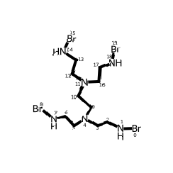 BrNCCN(CCNBr)CCN(CCNBr)CCNBr